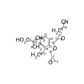 C(OCC1CO1)C1CO1.C=C(C)C(=O)O.C=CC#N.C=Cc1ccccc1